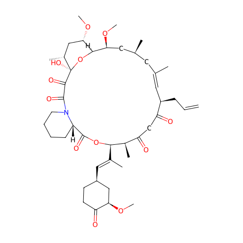 C=CC[C@@H]1/C=C(\C)C[C@H](C)C[C@H](OC)[C@H]2O[C@@](O)(C(=O)C(=O)N3CCCC[C@H]3C(=O)O[C@H](/C(C)=C/[C@@H]3CCC(=O)[C@H](OC)C3)[C@H](C)C(=O)CC1=O)[C@H](C)C[C@@H]2OC